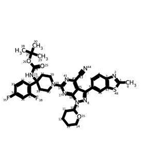 Cc1nc2ccc(-c3nn(C4CCCCO4)c4nc(N5CCC(NC(=O)OC(C)(C)C)(c6ccc(F)cc6F)CC5)nc(C#N)c34)cc2s1